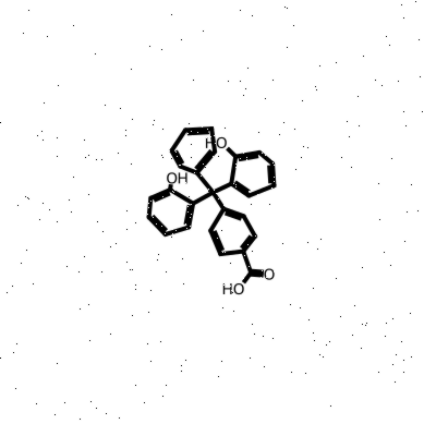 O=C(O)c1ccc(C(c2ccccc2)(c2ccccc2O)c2ccccc2O)cc1